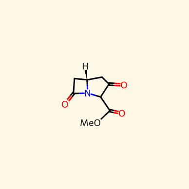 COC(=O)C1C(=O)C[C@H]2CC(=O)N12